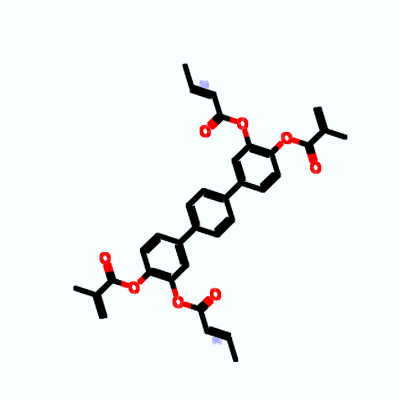 C=C(C)C(=O)Oc1ccc(-c2ccc(-c3ccc(OC(=O)C(=C)C)c(OC(=O)/C=C/C)c3)cc2)cc1OC(=O)/C=C/C